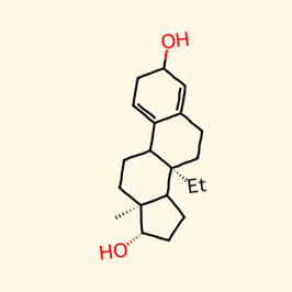 CC[C@@]12CCC3=CC(O)CC=C3C1CC[C@@]1(C)C2CC[C@@H]1O